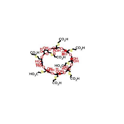 O=C(O)CCSCCC1OC2OC(CSCCC(=O)O)C(OC3OC(CSCCC(=O)O)C(OC4OC(CSCCC(=O)O)C(OC5OC(CSCCC(=O)O)C(OC6OC(CSCCC(=O)O)C(OC7OC(CSCCC(=O)O)C(OC8OC(CSCCC(=O)O)C(OC(O)/C(O)=C\1O)C(O)C8O)C(O)C7O)C(O)C6O)C(O)C5O)C(O)C4O)C(O)C3O)C(O)C2O